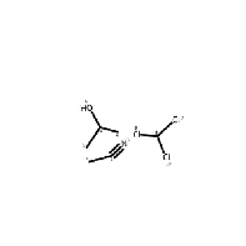 CC#N.CC(C)O.ClC(Cl)Cl